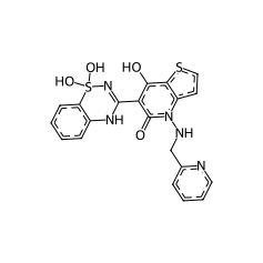 O=c1c(C2=NS(O)(O)c3ccccc3N2)c(O)c2sccc2n1NCc1ccccn1